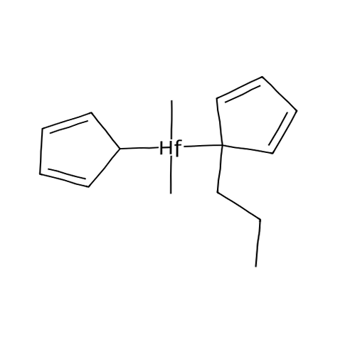 CCC[C]1([Hf]([CH3])([CH3])[CH]2C=CC=C2)C=CC=C1